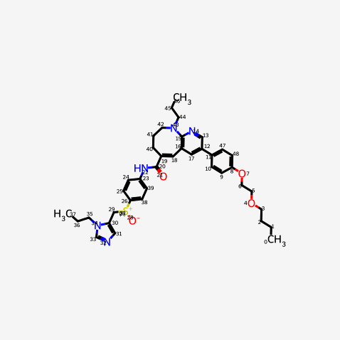 CCCCOCCOc1ccc(-c2cnc3c(c2)C=C(C(=O)Nc2ccc([S@@+]([O-])Cc4cncn4CCC)cc2)CCCN3CCC)cc1